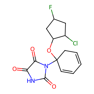 O=C1NC(=O)N(C2(OC3CC(F)CC3Cl)C=CC=CC2)C1=O